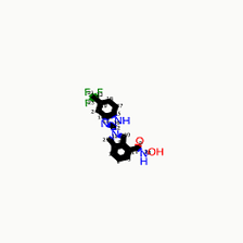 O=C(NO)c1cccc2c1CN(c1nc3c([nH]1)CCC(C(F)(F)F)C3)C2